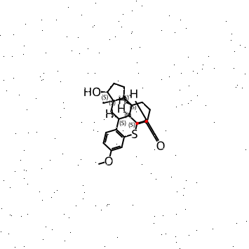 COc1ccc2c(c1)S[C@]13CCC(=O)C=C1CC[C@@H]1[C@@H]3[C@@H]2C[C@]2(C)[C@@H](O)CC[C@@H]12